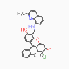 Cc1ccc2cccc(NCc3c(O)ccc4c(-c5ccccc5C=O)c5cc(Cl)c(=O)cc-5oc34)c2n1